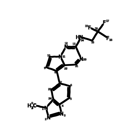 Cn1nnc2ccc(-c3ccn4nc(NCC(F)(F)F)ncc34)cc21